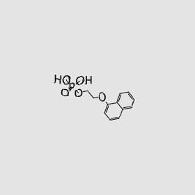 O=P(O)(O)OCCOc1cccc2ccccc12